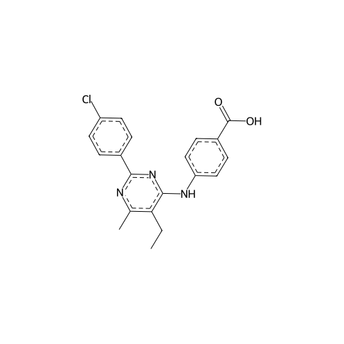 CCc1c(C)nc(-c2ccc(Cl)cc2)nc1Nc1ccc(C(=O)O)cc1